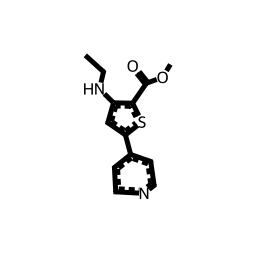 CCNc1cc(-c2ccncc2)sc1C(=O)OC